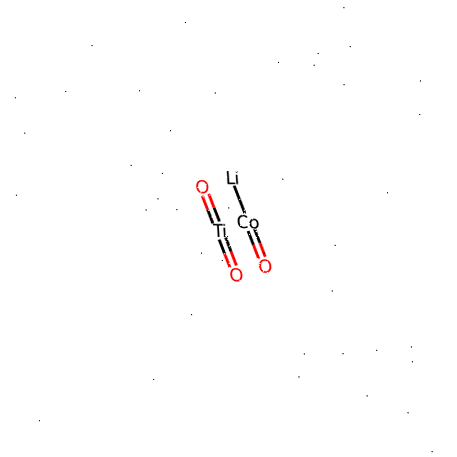 [Li][Co]=[O].[O]=[Ti]=[O]